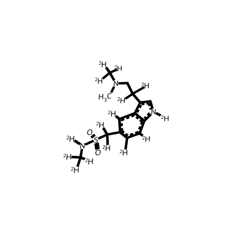 [2H]c1c(C([2H])([2H])S(=O)(=O)N([2H])C([2H])([2H])[2H])c([2H])c2c(C([2H])([2H])CN(C)C([2H])([2H])[2H])cn([2H])c2c1[2H]